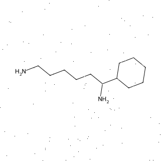 NCCCCCC(N)C1CCCCC1